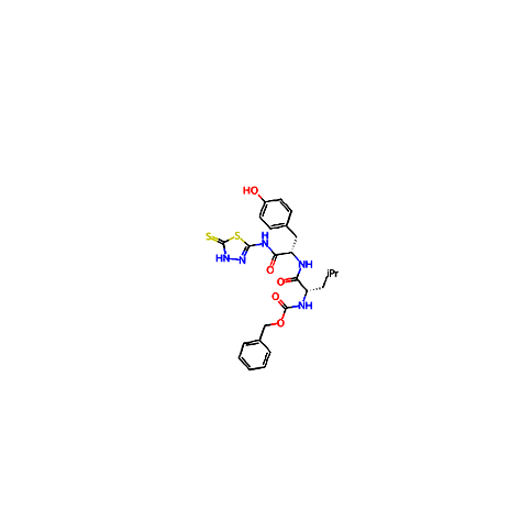 CC(C)C[C@H](NC(=O)OCc1ccccc1)C(=O)N[C@@H](Cc1ccc(O)cc1)C(=O)Nc1n[nH]c(=S)s1